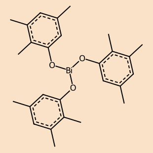 Cc1cc(C)c(C)c([O][Bi]([O]c2cc(C)cc(C)c2C)[O]c2cc(C)cc(C)c2C)c1